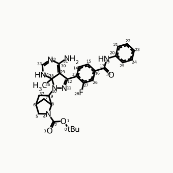 CC(C)(C)OC(=O)N1CC2CC1C(N1N=C(c3ccc(C(=O)Nc4ccccc4)cc3F)C3=C(N)N=CNC31C)C2